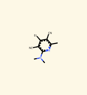 CCc1c(C#N)c(C)nc(N(C)C)c1C#N